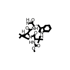 COC(=O)N[C@H](C(=O)N1CC2[C@H](C1C(=O)N[C@@H](Cc1c[nH]c3ccccc13)C(N)=O)C2(C)C)C(C)(C)C